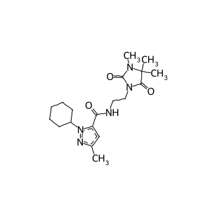 Cc1cc(C(=O)NCCN2C(=O)N(C)C(C)(C)C2=O)n(C2CCCCC2)n1